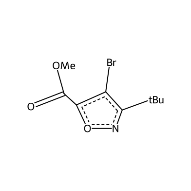 COC(=O)c1onc(C(C)(C)C)c1Br